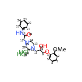 COc1ccccc1OCC(O)CN1CCN(CC(=O)Nc2ccccc2)CC1.Cl.Cl